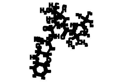 CC(C)(C)[C@H](NC(=O)C(F)(F)F)C(=O)N1C[C@H]2[C@@H]([C@H]1C(=O)N[C@H](C#N)C[C@@H]1Oc3ccccc3NC1=O)C2(C)C